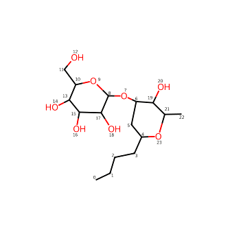 CCCCC1CC(OC2OC(CO)C(O)C(O)C2O)C(O)C(C)O1